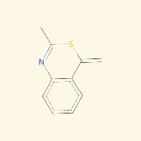 C=C1SC(C)=Nc2ccccc21